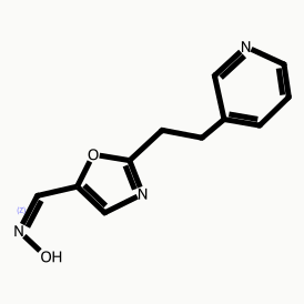 O/N=C\c1cnc(CCc2cccnc2)o1